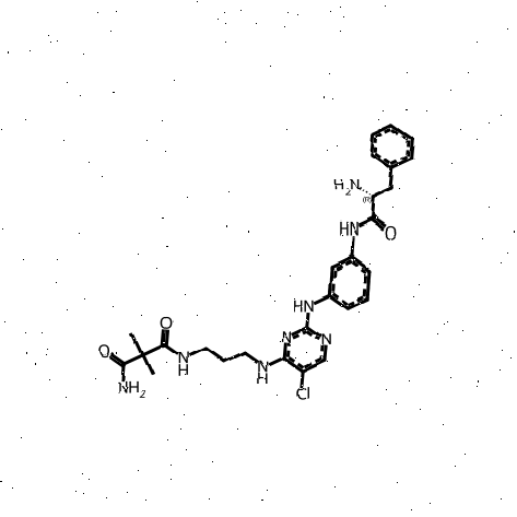 CC(C)(C(N)=O)C(=O)NCCCNc1nc(Nc2cccc(NC(=O)[C@H](N)Cc3ccccc3)c2)ncc1Cl